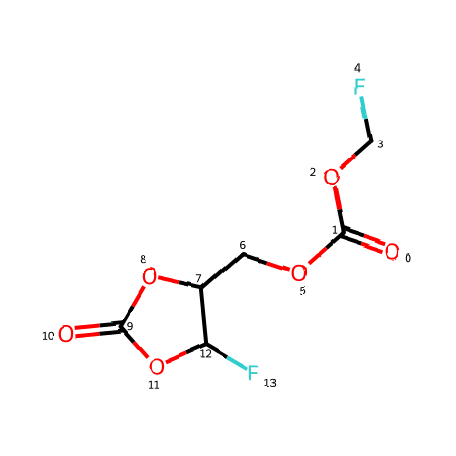 O=C(OCF)OCC1OC(=O)OC1F